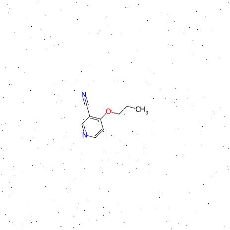 CCCOc1ccncc1C#N